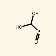 O=PC(O)O